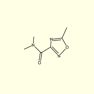 Cc1nc(C(=O)N(C)C)no1